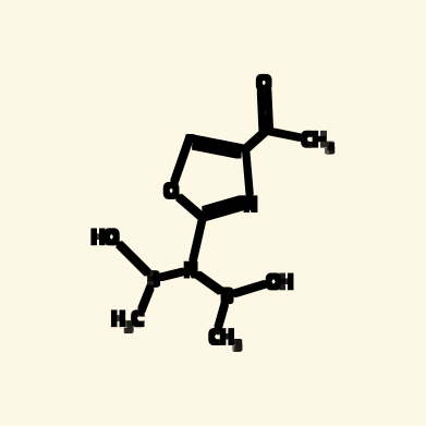 CB(O)N(B(C)O)c1nc(C(C)=O)co1